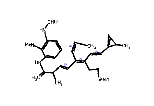 C=C(Nc1cccc(NC=O)c1NC)C(C)/C=C/C(/C=C\C)=C(/C=C/C1=CC1C)CCC(C)CCC